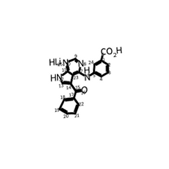 O=C(O)c1cccc(Nc2ncnc3[nH]cc(C(=O)c4ccccc4)c23)c1.[LiH]